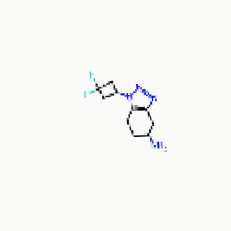 NC1CCc2c(nnn2C2CC(F)(F)C2)C1